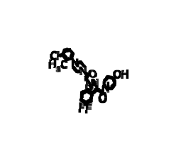 Cc1c(Cl)cccc1N1CCN(C(=O)Cn2nc(C(=O)N3CCC(O)CC3)c3c2CCC(F)(F)C3)CC1